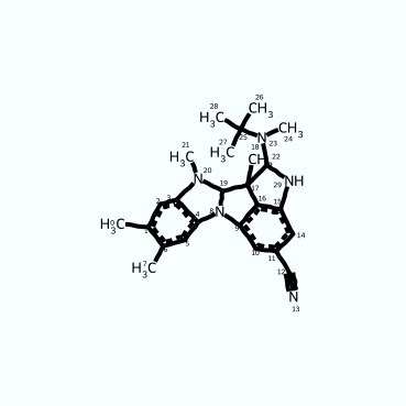 Cc1cc2c(cc1C)N1c3cc(C#N)cc4c3C(C)(C1N2C)C(N(C)C(C)(C)C)N4